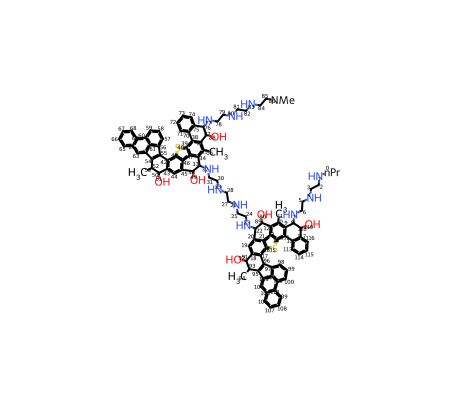 CCCNCCNCCNC1c2c(C)c3c4c(sc5c6c(cc(c54)C(NCCNCCNCCNC4c5c(C)c7c(c8sc9c%10c(cc(c9c58)C4O)C(O)C(C)C4=C%10c5cccc8c5c4cc4ccccc48)-c4ccccc4C(NCCNCCNCCNC)C7O)C3O)C(O)C(C)C3=C6c4cccc5c4c3cc3ccccc35)c2-c2ccccc2C1O